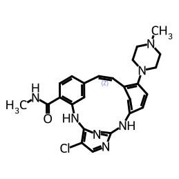 CNC(=O)c1ccc2cc1Nc1nc(ncc1Cl)Nc1ccc(N3CCN(C)CC3)c(c1)/C=C\2